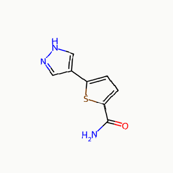 NC(=O)c1ccc(-c2cn[nH]c2)s1